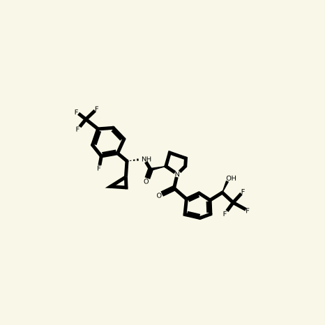 O=C(N[C@@H](c1ccc(C(F)(F)F)cc1F)C1CC1)[C@H]1CCCN1C(=O)c1cccc([C@@H](O)C(F)(F)F)c1